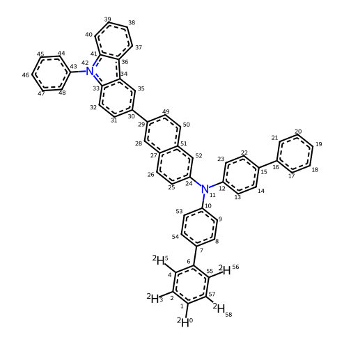 [2H]c1c([2H])c([2H])c(-c2ccc(N(c3ccc(-c4ccccc4)cc3)c3ccc4cc(-c5ccc6c(c5)c5ccccc5n6-c5ccccc5)ccc4c3)cc2)c([2H])c1[2H]